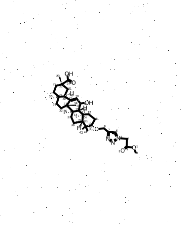 COC(=O)Cn1cc(CO[C@H]2CC[C@]3(C)[C@H]4C(O)C=C5[C@@H]6C[C@@](C)(C(=O)O)CC[C@]6(C)CC[C@@]5(C)[C@]4(C)CC[C@H]3C2(C)C)nn1